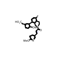 COc1ccc(/C=C/C(=O)N2CCc3c(F)ccc(-c4cc(CC(=O)O)ccc4OC)c3C2)cn1